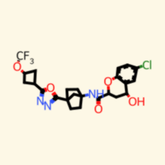 O=C(NC12CCC(c3nnc(C4CC(OC(F)(F)F)C4)o3)(CC1)C2)C1CC(O)c2cc(Cl)ccc2O1